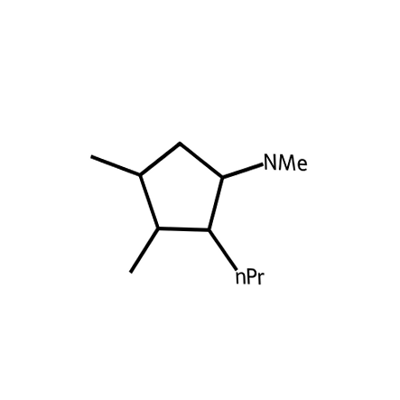 CCCC1C(NC)CC(C)C1C